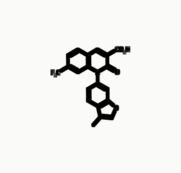 Cc1coc2cc(-n3c(=O)c(C(=O)O)cc4ccc(C(F)(F)F)cc43)ccc12